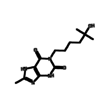 Cc1nc2[nH]c(=O)n(CCCCC(C)(C)O)c(=O)c2[nH]1